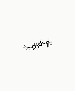 CCC(CC)(c1ccc(CCC(O)C(C)(C)C)c(C)c1)c1ccc(OC[C@@H]2CCC(=O)N2)c(C)c1